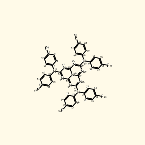 Fc1ccc(N(C2=NC3=NC(N(c4ccc(F)cc4)c4ccc(F)cc4)=NC4=NC(N(c5ccc(F)cc5)c5ccc(F)cc5)=NC(=N2)N34)c2ccc(F)cc2)cc1